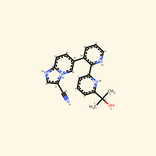 CC(C)(O)c1cccc(-c2ncccc2-c2ccc3ncc(C#N)n3c2)n1